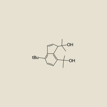 CC(C)(C)c1ccc(C(C)(C)O)c2c1C=CC2C(C)(C)O